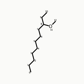 CCCCCCCCC(CC)OC